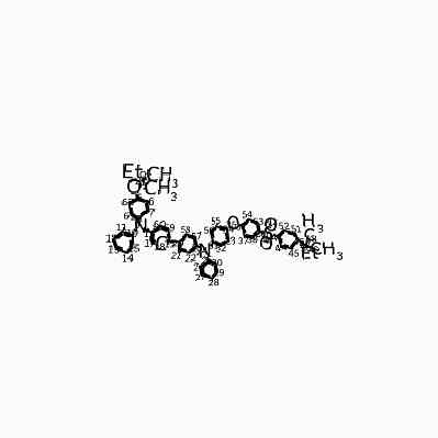 CCC(C)(C)Oc1ccc(N(c2ccccc2)c2ccc(-c3ccc(N(c4ccccc4)c4ccc(Oc5ccc(S(=O)(=O)c6ccc(C(C)(C)CC)cc6)cc5)cc4)cc3)cc2)cc1